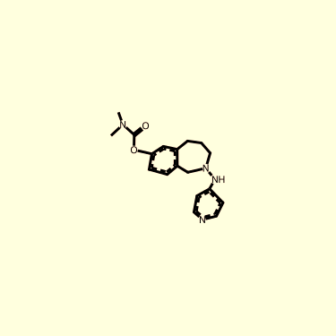 CN(C)C(=O)Oc1ccc2c(c1)CCCN(Nc1ccncc1)C2